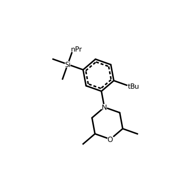 CCC[Si](C)(C)c1ccc(C(C)(C)C)c(N2CC(C)OC(C)C2)c1